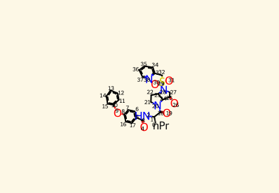 CCCC(NC(=O)c1ccc(Oc2ccccc2)cc1)C(=O)N1CCC2C1C(=O)CN2S(=O)(=O)Cc1ccccn1